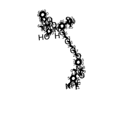 C=C1N(c2ccc(C#N)c(C(F)(F)F)c2)C(=O)C(C)(C)N1c1ccc(OCCOCCCOCCCOc2cc(-c3scnc3C)ccc2NC(=O)[C@@H]2C[C@@H](O)CN2C(=O)[C@H](C(C)C)N2Cc3ccccc3C2=O)cc1